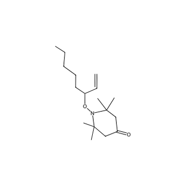 C=CC(CCCCC)ON1C(C)(C)CC(=O)CC1(C)C